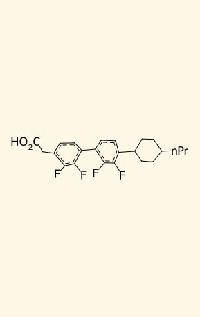 CCCC1CCC(c2ccc(-c3ccc(CC(=O)O)c(F)c3F)c(F)c2F)CC1